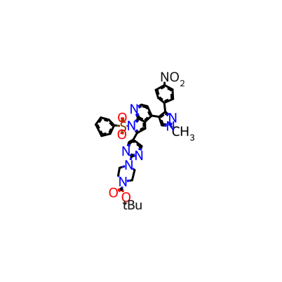 Cn1cc(-c2ccnc3c2cc(-c2cnc(N4CCN(C(=O)OC(C)(C)C)CC4)nc2)n3S(=O)(=O)c2ccccc2)c(-c2ccc([N+](=O)[O-])cc2)n1